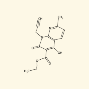 C#CCn1c(=O)c(C(=O)OCC)c(O)c2ccc(C)nc21